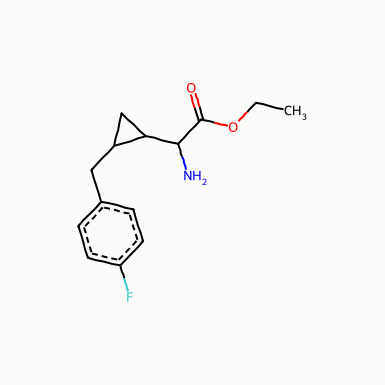 CCOC(=O)C(N)C1CC1Cc1ccc(F)cc1